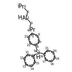 CC(C)[CH2][AlH][CH2]C(C)C.c1ccc([SiH](c2ccccc2)c2ccccc2)cc1